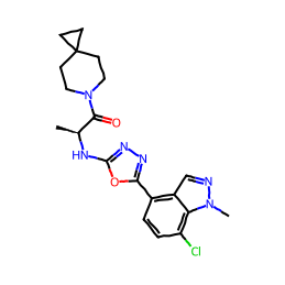 C[C@H](Nc1nnc(-c2ccc(Cl)c3c2cnn3C)o1)C(=O)N1CCC2(CC1)CC2